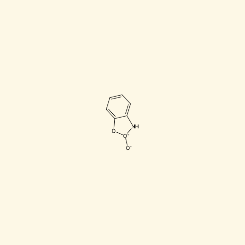 [O-][O+]1Nc2ccccc2O1